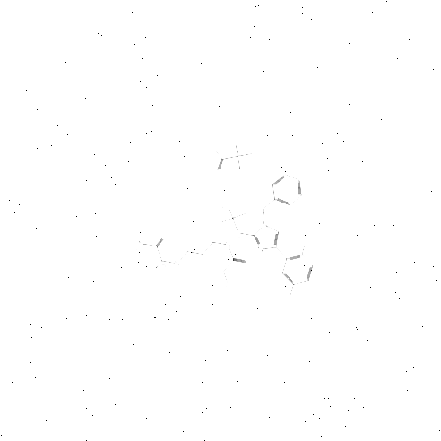 C[C@H](NCCCN(C(=O)CO)[C@@H](c1nc(-c2cc(F)ccc2F)cn1Cc1ccccc1)C(C)(C)C)C(N)=O.O=C(O)C(F)(F)F